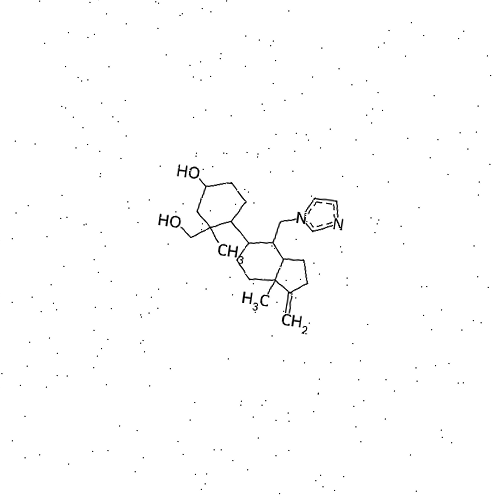 C=C1CCC2C(Cn3ccnc3)C(C3CCC(O)CC3(C)CO)CCC12C